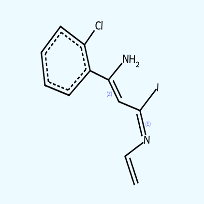 C=C/N=C(I)\C=C(/N)c1ccccc1Cl